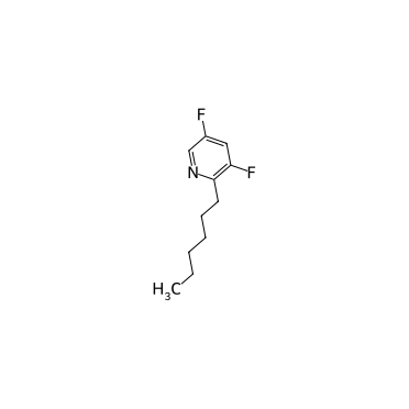 CCCCCCc1ncc(F)cc1F